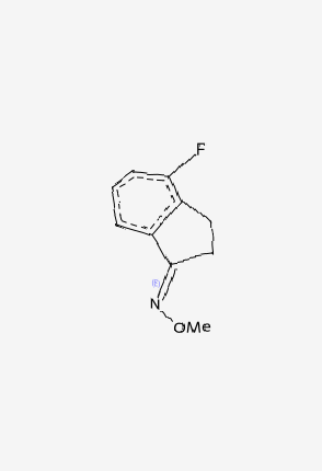 CO/N=C1\CCc2c(F)cccc21